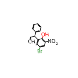 C=CC(c1ccccc1)c1cc(Br)cc([N+](=O)[O-])c1O